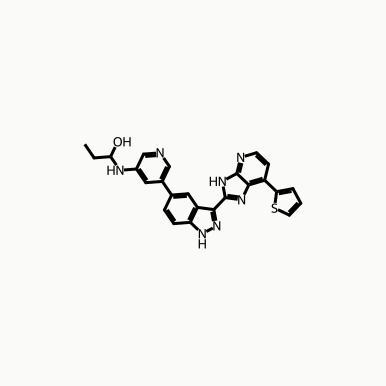 CCC(O)Nc1cncc(-c2ccc3[nH]nc(-c4nc5c(-c6cccs6)ccnc5[nH]4)c3c2)c1